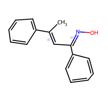 C/C(=C\C(=N\O)c1ccccc1)c1ccccc1